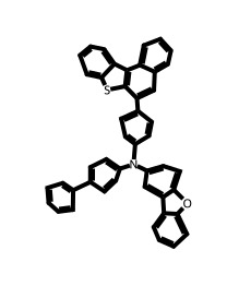 c1ccc(-c2ccc(N(c3ccc(-c4cc5ccccc5c5c4sc4ccccc45)cc3)c3ccc4oc5ccccc5c4c3)cc2)cc1